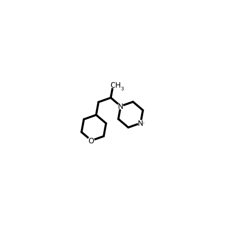 CC(CC1CCOCC1)N1CC[N]CC1